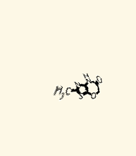 Cc1nc2c(s1)OCC(=O)N2